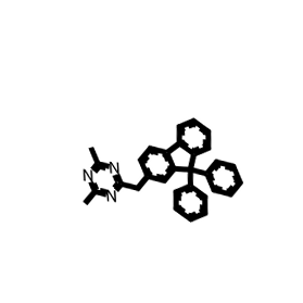 Cc1nc(C)nc(Cc2ccc3c(c2)C(c2ccccc2)(c2ccccc2)c2ccccc2-3)n1